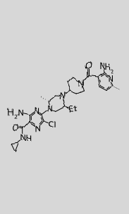 CC[C@H]1CN(c2nc(N)c(C(=O)NC3CC3)nc2Cl)[C@H](C)CN1C1CCN(C(=O)c2ccc(C)nc2N)CC1